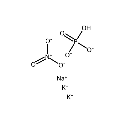 O=P([O-])([O-])O.O=[N+]([O-])[O-].[K+].[K+].[Na+]